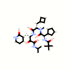 CC(C)NC(=O)C(=O)[C@H](C[C@@H]1CCCNC1=O)NC(=O)[C@H](CC1CCC1)N(C)C(=O)[C@H](NC(=O)C(C)(C)C)C1CCCC1